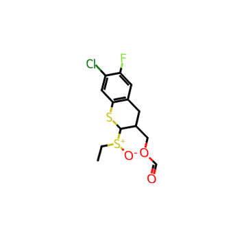 CC[S+]([O-])C1Sc2cc(Cl)c(F)cc2CC1COC=O